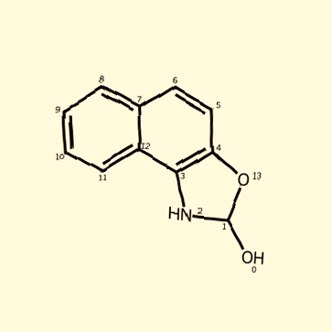 OC1Nc2c(ccc3ccccc23)O1